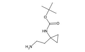 CC(C)(C)OC(=O)NC1(CCN)CC1